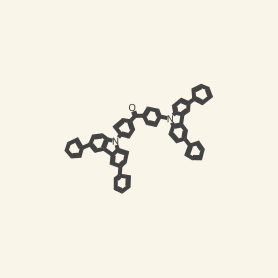 O=C(c1ccc(-n2c3ccc(C4=CCCC=C4)cc3c3cc(-c4ccccc4)ccc32)cc1)c1ccc(-n2c3ccc(-c4ccccc4)cc3c3cc(-c4ccccc4)ccc32)cc1